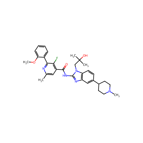 COc1ccccc1-c1nc(C)cc(C(=O)Nc2nc3cc(C4CCN(C)CC4)ccc3n2CC(C)(C)O)c1F